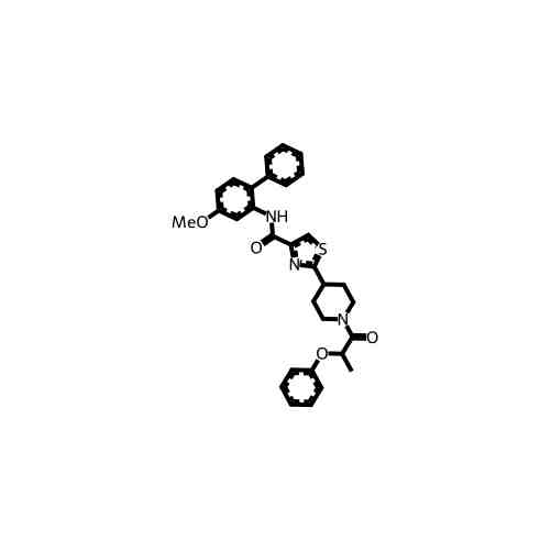 COc1ccc(-c2ccccc2)c(NC(=O)c2csc(C3CCN(C(=O)C(C)Oc4ccccc4)CC3)n2)c1